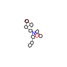 c1ccc(-c2ccccc2-c2c(-c3ccccc3)cccc2-c2ccc(N(c3ccc(-c4ccc5ccccc5c4)cc3)c3cccc4c3oc3ccccc34)cc2)cc1